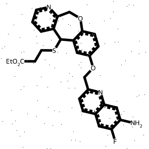 CCOC(=O)CCSC1c2cc(OCc3ccc4cc(F)c(N)cc4n3)ccc2OCc2ncccc21